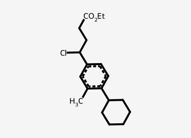 CCOC(=O)CCC(Cl)c1ccc(C2CCCCC2)c(C)c1